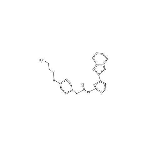 CCCCOc1ccc(CC(=O)Nc2cccc(-c3nc4ccccc4o3)c2)cc1